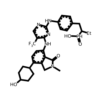 CCC(Cc1ccc(Nc2ncc(C(F)(F)F)c(Nc3ccc(C4CCC(O)CC4)c4c3C(=O)N(C)C4)n2)cc1)[PH](=O)O